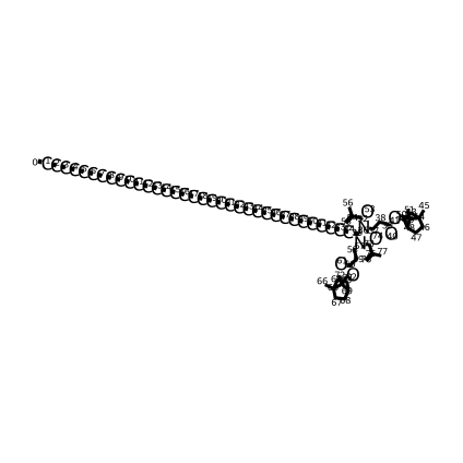 C=C=C=C=C=C=C=C=C=C=C=C=C=C=C=C=C=C=C=C=C=C=C=C=C=C=C=C=C=C=C=C=C=C=C=C(N(CCC(=O)OC1CC2(C)CCC1C2(C)C)C(=O)C(=C)C)N(CCC(=O)OC1CC2(C)CCC1C2(C)C)C(=O)C(=C)C